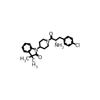 CC1(C)C(=O)N(C2CCN(C(=O)[C@@H](N)Cc3ccc(Cl)cc3)CC2)c2ccccc21